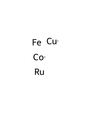 [Co].[Cu].[Fe].[Ru]